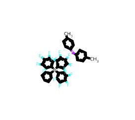 Cc1ccc([I+]c2ccc(C)cc2)cc1.Fc1c(F)c(F)c([B-](c2ccccc2)(c2c(F)c(F)c(F)c(F)c2F)c2c(F)c(F)c(F)c(F)c2F)c(F)c1F